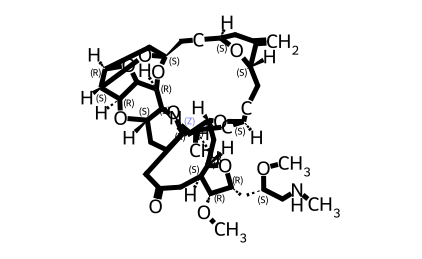 C=C1C[C@@H]2CC[C@@]34C[C@H]5OC6[C@@H](O[C@H]7CC[C@@H]8CC(=O)C[C@@H]9[C@@H](OC)[C@@H](C[C@@H](CNC)OC)O[C@H]9C[C@H]9O[C@@H](CC[C@@H]1O2)C[C@@H](C)/C9=N/[C@@]7(O8)[C@@H]6O3)[C@H]5O4